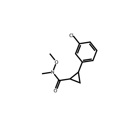 CON(C)C(=O)C1CC1c1cccc(Cl)c1